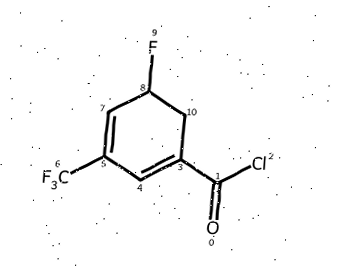 O=C(Cl)C1=CC(C(F)(F)F)=CC(F)C1